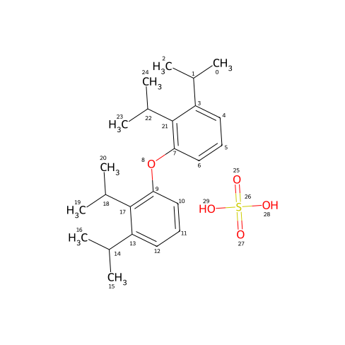 CC(C)c1cccc(Oc2cccc(C(C)C)c2C(C)C)c1C(C)C.O=S(=O)(O)O